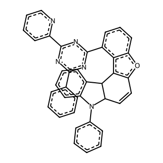 C1=CC2C(c3ccccc3N2c2ccccc2)c2c1oc1cccc(-c3nc(-c4ccccc4)nc(-c4ccccn4)n3)c21